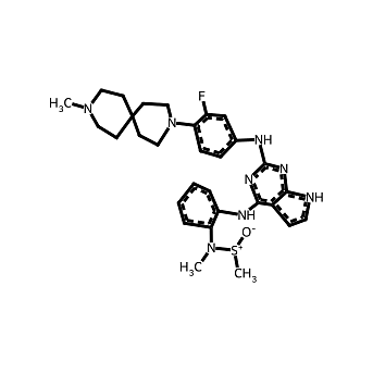 CN1CCC2(CC1)CCN(c1ccc(Nc3nc(Nc4ccccc4N(C)[S+](C)[O-])c4cc[nH]c4n3)cc1F)CC2